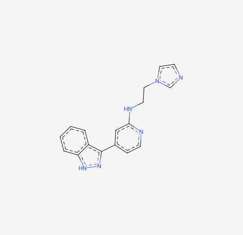 c1ccc2c(-c3ccnc(NCCn4ccnc4)c3)n[nH]c2c1